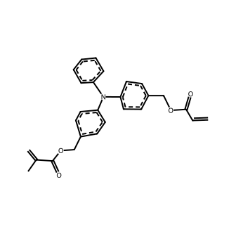 C=CC(=O)OCc1ccc(N(c2ccccc2)c2ccc(COC(=O)C(=C)C)cc2)cc1